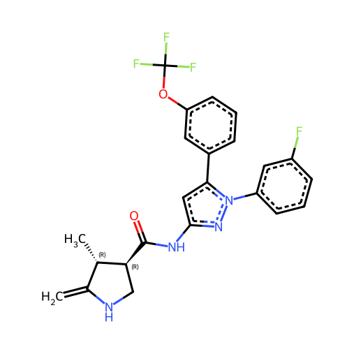 C=C1NC[C@H](C(=O)Nc2cc(-c3cccc(OC(F)(F)F)c3)n(-c3cccc(F)c3)n2)[C@H]1C